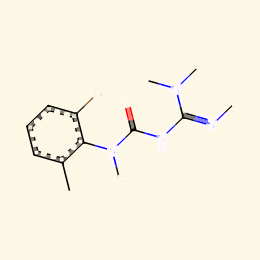 CCCN(C(=O)NC(=NC)N(C)C)c1c(C)cccc1Br